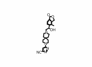 Cc1c(C(O)CN2CCC3(CC2)CCN(c2cc(C#N)ncn2)CC3)ccc2c1COC2=O